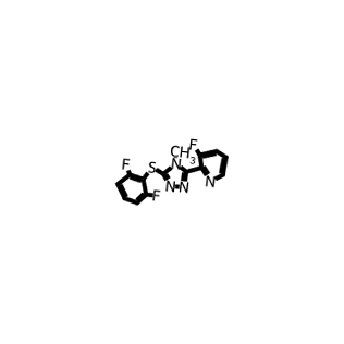 Cn1c(Sc2c(F)cccc2F)nnc1-c1ncccc1F